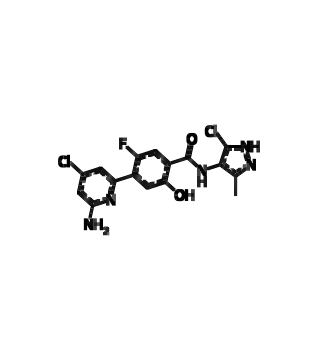 Cc1n[nH]c(Cl)c1NC(=O)c1cc(F)c(-c2cc(Cl)cc(N)n2)cc1O